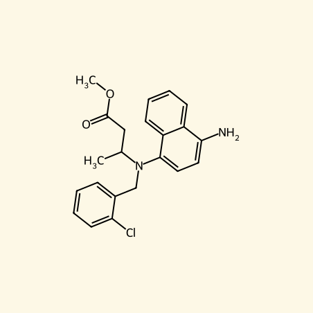 COC(=O)CC(C)N(Cc1ccccc1Cl)c1ccc(N)c2ccccc12